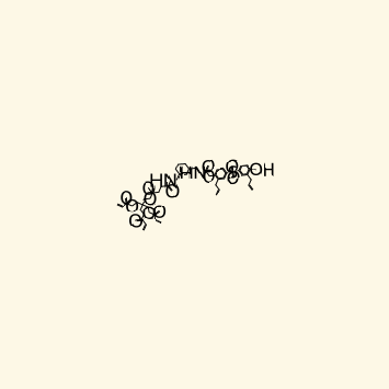 C=CCc1cc(S(=O)(=O)c2ccc(OC(=O)NCC3CCCC(CNC(=O)CCC(=O)OCC(CCC(=O)C=C)(COC(=O)C=C)COC(=O)C=C)C3)c(CC=C)c2)ccc1O